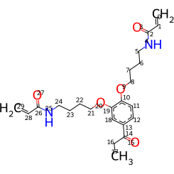 C=CC(=O)NCCCCOc1ccc(C(=O)CC)cc1OCCCCNC(=O)C=C